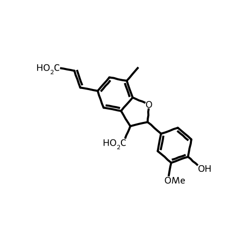 COc1cc(C2Oc3c(C)cc(/C=C/C(=O)O)cc3C2C(=O)O)ccc1O